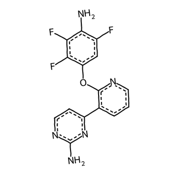 Nc1nccc(-c2cccnc2Oc2cc(F)c(N)c(F)c2F)n1